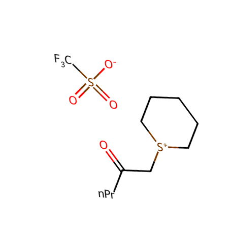 CCCC(=O)C[S+]1CCCCC1.O=S(=O)([O-])C(F)(F)F